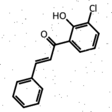 O=C(C=Cc1ccccc1)c1cccc(Cl)c1O